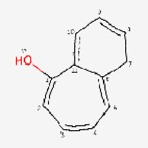 OC1=CC=CC=C2CC=CC=C12